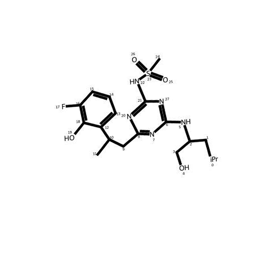 CC(C)CC(CO)Nc1nc(CC(C)c2cccc(F)c2O)nc(NS(C)(=O)=O)n1